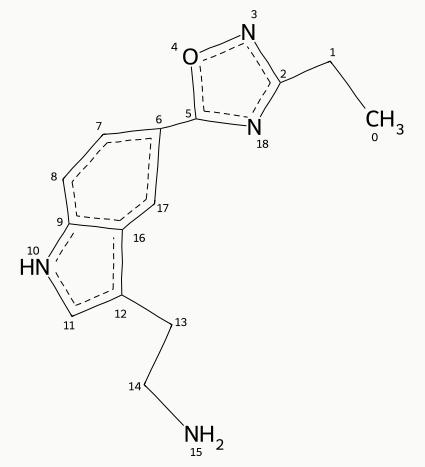 CCc1noc(-c2ccc3[nH]cc(CCN)c3c2)n1